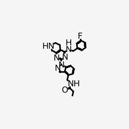 CCC(=O)NCc1cccc2c1cnn2-c1nc2c(c(NCc3cccc(F)c3)n1)CCNC2